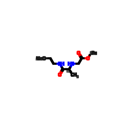 COCCNC(=O)[C@H](C)NCC(=O)OC(C)(C)C